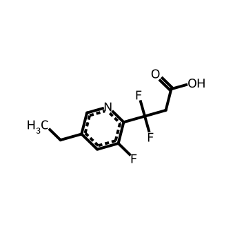 CCc1cnc(C(F)(F)CC(=O)O)c(F)c1